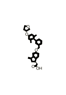 C=C1C[C@H](CC(=O)O)c2ccc(OCc3cccc(-c4c(C)cc(O[C@@H]5CCOC5)cc4C)c3)cc21